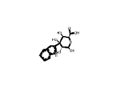 OC(Cl)[C@H]1O[C@@H](O)[C@H](O)[C@](O)(c2cc3ccccc3[nH]2)[C@H]1O